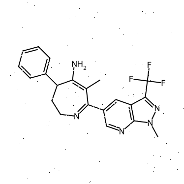 CC1=C(N)C(c2ccccc2)CCN=C1c1cnc2c(c1)c(C(F)(F)F)nn2C